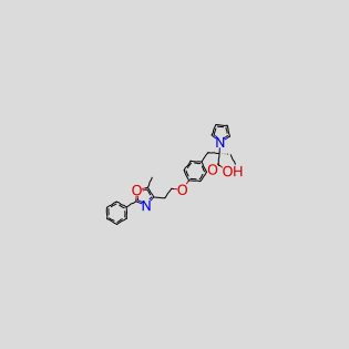 CC[C@@](Cc1ccc(OCCc2nc(-c3ccccc3)oc2C)cc1)(C(=O)O)n1cccc1